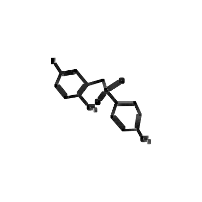 O=S(=O)(Cc1cc(F)ccc1C(F)(F)F)c1ccc(C(F)(F)F)cc1